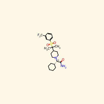 CC(C)(C1CCN([C@H](C(N)=O)C2CCCCC2)CC1)S(=O)(=O)c1cccc(C(F)(F)F)c1